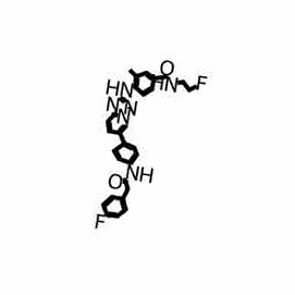 Cc1cc(C(=O)NCCF)ccc1Nc1nc2ccc(-c3ccc(NC(=O)Cc4ccc(F)cc4)cc3)cn2n1